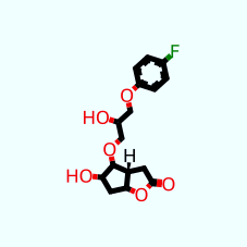 O=C1C[C@@H]2C(CC(O)C2OCC(O)COc2ccc(F)cc2)O1